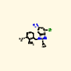 Cc1c(Cn2c(C3CC3)nc3c(Br)cc(N)cc32)cccc1C(F)(F)F